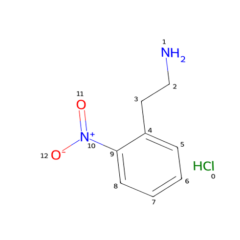 Cl.NCCc1ccccc1[N+](=O)[O-]